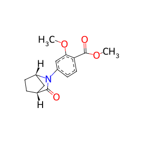 COC(=O)c1ccc(N2C(=O)[C@@H]3CC[C@H]2C3)cc1OC